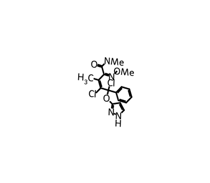 CNC(=O)C(=NOC)C(C)=C(Cl)C(Cl)(Oc1cc[nH]n1)c1ccccc1